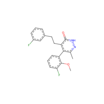 COc1c(F)cccc1-c1c(C)n[nH]c(=O)c1CCc1cccc(F)c1